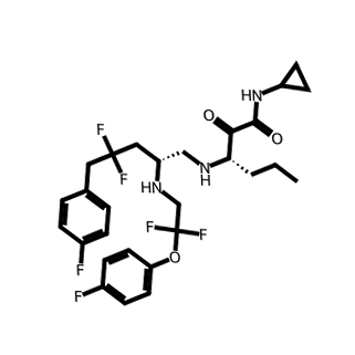 CCC[C@H](NC[C@@H](CC(F)(F)Cc1ccc(F)cc1)NCC(F)(F)Oc1ccc(F)cc1)C(=O)C(=O)NC1CC1